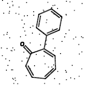 O=c1cccccc1-c1cc[c]cc1